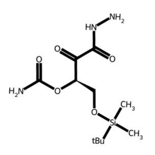 CC(C)(C)[Si](C)(C)OC[C@@H](OC(N)=O)C(=O)C(=O)NN